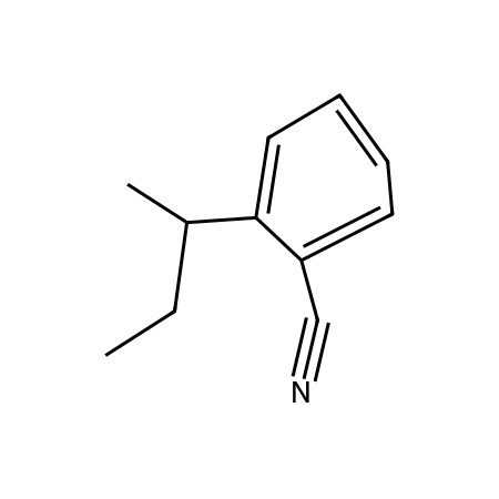 CCC(C)c1ccccc1C#N